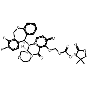 CC1(C)COC(=O)[C@H]1OC(=O)OCOc1c2n(ccc1=O)N([C@@H]1c3ccccc3SCc3c1ccc(F)c3F)[C@@H]1COCCN1C2=O